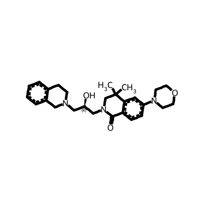 CC1(C)CN(C[C@H](O)CN2CCc3ccccc3C2)C(=O)c2ccc(N3CCOCC3)cc21